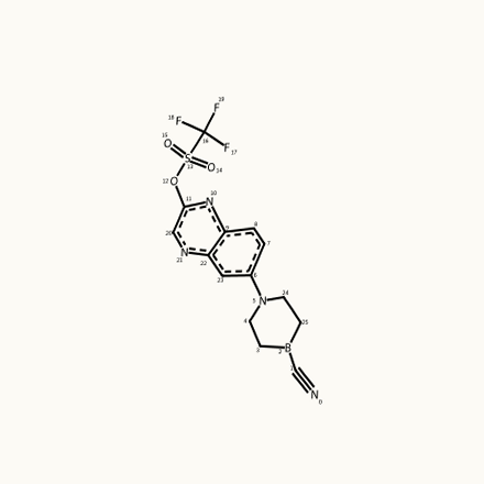 N#CB1CCN(c2ccc3nc(OS(=O)(=O)C(F)(F)F)cnc3c2)CC1